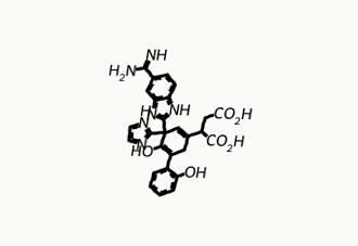 N=C(N)c1ccc2[nH]c(C3(c4ncc[nH]4)C=C(C(CC(=O)O)C(=O)O)CC(c4ccccc4O)=C3O)nc2c1